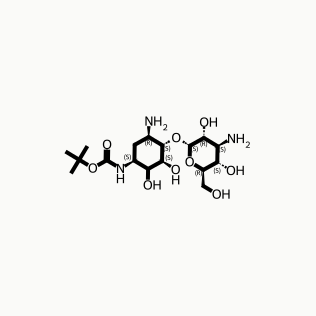 CC(C)(C)OC(=O)N[C@H]1C[C@@H](N)[C@H](O[C@H]2O[C@H](CO)[C@@H](O)[C@H](N)[C@H]2O)[C@@H](O)C1O